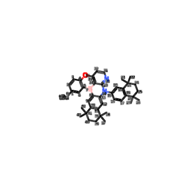 CC(C)(C)c1ccc2c(c1)B1c3cc4c(cc3N(c3ccc5c(c3)C(C)(C)CCC5(C)C)c3nccc(c31)O2)C(C)(C)CCC4(C)C